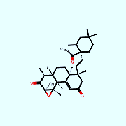 COC(=O)[C@]1(CC[C@]2(C)CC(=O)C=C3[C@@]4(C)[C@H]5O[C@@]5(C#N)C(=O)[C@@H](C)[C@@H]4CC[C@]32C)CCC(C)(C)CC1C